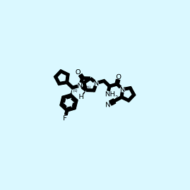 N#CC1CCCN1C(=O)C(N)CN1C[C@@H]2CC1C(=O)N2[C@H](c1ccc(F)cc1)C1CCCC1